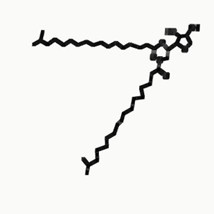 CC(C)CCCCCCCCCCCCCCC(=O)OCC(OC(=O)CCCCCCCCCCCCCCC(C)C)C1OCC(O)C1O